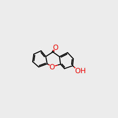 O=c1c2ccccc2oc2cc(O)ccc12